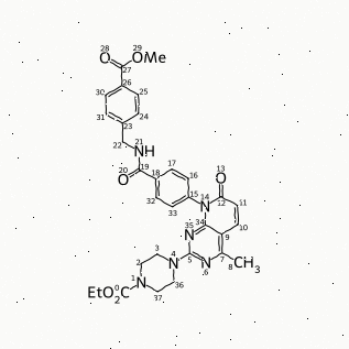 CCOC(=O)N1CCN(c2nc(C)c3ccc(=O)n(-c4ccc(C(=O)NCc5ccc(C(=O)OC)cc5)cc4)c3n2)CC1